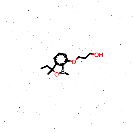 CCC1(C)OB(C)c2c(OCCCO)cccc21